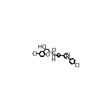 O=C(NC12CC(c3cnn(-c4ccc(Cl)cc4)c3)(C1)C2)[C@@H]1C[C@@H](O)c2cc(Cl)ccc2O1